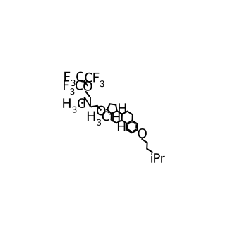 CC(C)CCCCOc1ccc2c(c1)CC[C@@H]1[C@@H]2CC[C@]2(C)[C@@H](OCCN(C)CCOC(C(F)(F)F)(C(F)(F)F)C(F)(F)F)CC[C@@H]12